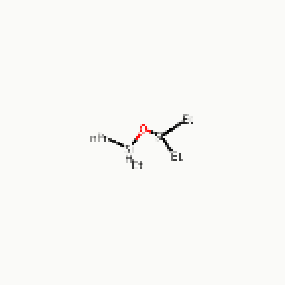 CCC[SiH](CC)O[Si](CC)CC